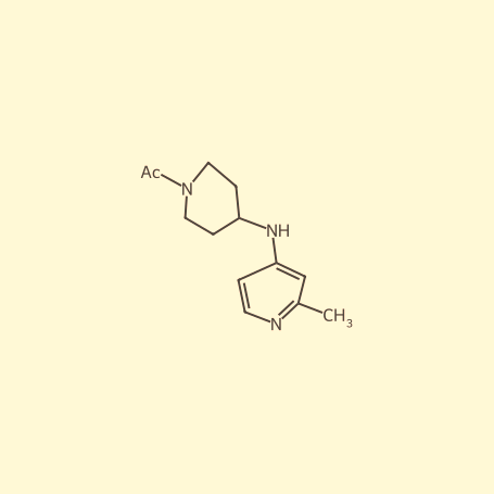 CC(=O)N1CCC(Nc2ccnc(C)c2)CC1